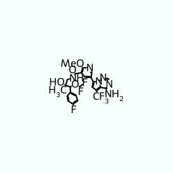 COc1ncc(-c2cc(C(F)(F)F)c3c(N)ncnn23)cc1C(=O)NCC(C)(O)C(OC(F)F)c1ccc(F)cc1